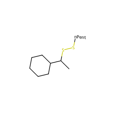 CCCCCSSC(C)C1CCCCC1